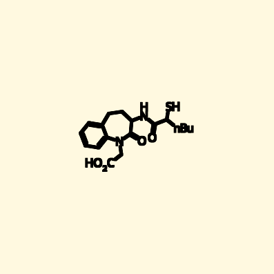 CCCCC(S)C(=O)NC1CCc2ccccc2N(CC(=O)O)C1=O